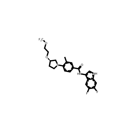 Cc1cc(C(=O)Nc2c[nH]c3cc(F)c(F)cc23)ccc1N1CC[C@@H](OCCOC(F)(F)F)C1